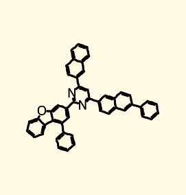 c1ccc(-c2ccc3cc(-c4cc(-c5ccc6ccccc6c5)nc(-c5cc(-c6ccccc6)c6c(c5)oc5ccccc56)n4)ccc3c2)cc1